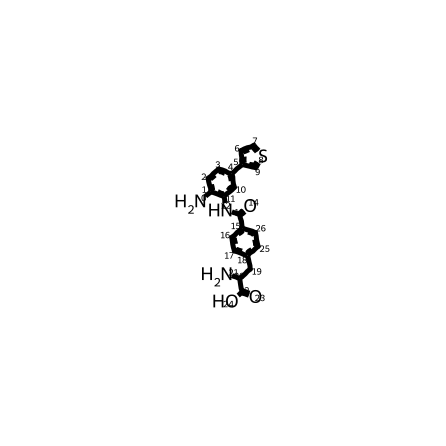 Nc1ccc(-c2ccsc2)cc1NC(=O)c1ccc(CC(N)C(=O)O)cc1